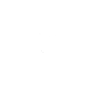 CC(=O)N1CC[C@H](C)[C@H](F)C1